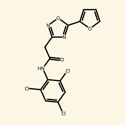 O=C(Cc1noc(-c2ccco2)n1)Nc1c(Cl)cc(Cl)cc1Cl